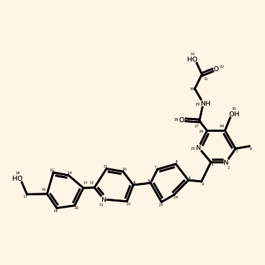 Cc1nc(Cc2ccc(-c3ccc(-c4ccc(CO)cc4)nc3)cc2)nc(C(=O)NCC(=O)O)c1O